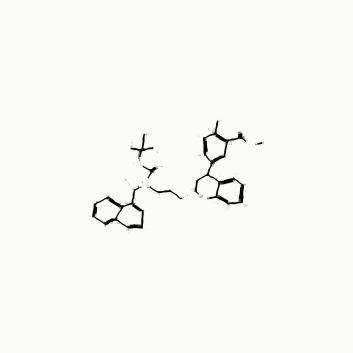 COC(=O)c1cc(C2C[C@H](CCCN(C(=O)OC(C)(C)C)[C@H](C)c3cccc4ccccc34)Oc3ccccc32)ccc1C